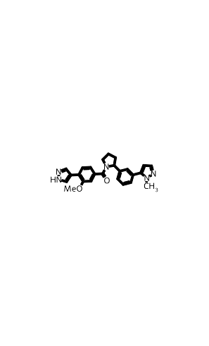 COc1cc(C(=O)N2CCCC2c2cccc(-c3ccnn3C)c2)ccc1-c1cn[nH]c1